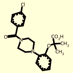 CC(C)(Oc1ccccc1N1CCN(C(=O)c2ccc(Cl)cc2)CC1)C(=O)O